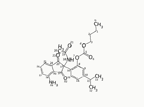 CCCCOC(=O)Oc1cc(C(C)C)ccc1C1(NC(C)=O)C(=O)c2cccc(N)c2C1=O